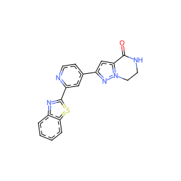 O=C1NCCn2nc(-c3ccnc(-c4nc5ccccc5s4)c3)cc21